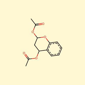 CC(=O)OC1CC(OC(C)=O)c2ccccc2O1